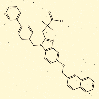 CC(C)(Cc1nc2cc(OCc3ccc4ccccc4n3)ccc2n1Cc1ccc(-c2cccnc2)cc1)C(=O)O